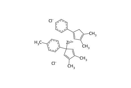 CC1=C(C)CC(c2ccccc2)=C1.CC1=C[C]([Zr+2])(c2ccc(C)cc2)C=C1C.[Cl-].[Cl-]